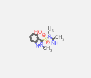 CC(=N)N(C)S(=O)(=O)c1c2c(O)cccc2nn1C